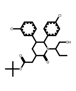 CCC(CO)N1C(=O)C(CC(=O)OC(C)(C)C)CC(c2cccc(Cl)c2)C1c1ccc(Cl)cc1